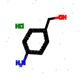 Cl.Nc1ccc(CO)cc1